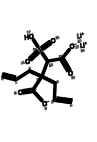 C=CCC(CC=C)(C(=O)[O-])C(C(=O)[O-])S(=O)(=O)O.[Li+].[Li+]